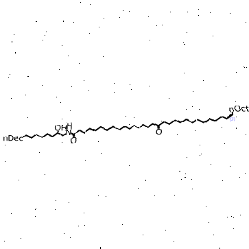 CCCCCCCC/C=C\CCCCCCCCCCCC(=O)CCCCCCCCCCCCCCCC(=O)NCC(O)CCCCCCCCCCCCCCCC